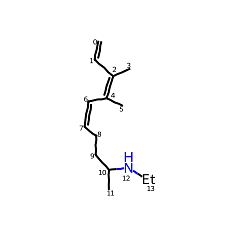 C=C/C(C)=C(C)\C=C/CCC(C)NCC